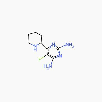 Nc1nc(N)c(F)c(C2CCCCN2)n1